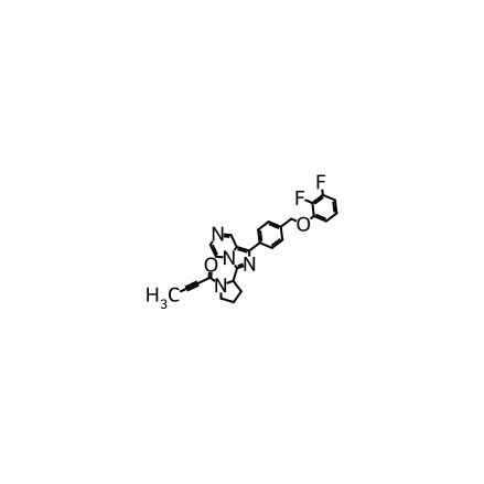 CC#CC(=O)N1CCCC1c1nc(-c2ccc(COc3cccc(F)c3F)cc2)c2cnccn12